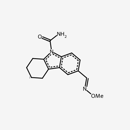 CON=Cc1ccc2c(c1)c1c(n2C(N)=O)CC[C]C1